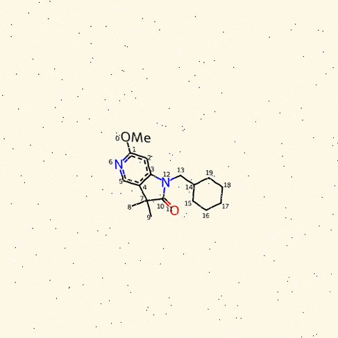 COc1cc2c(cn1)C(C)(C)C(=O)N2CC1CCCCC1